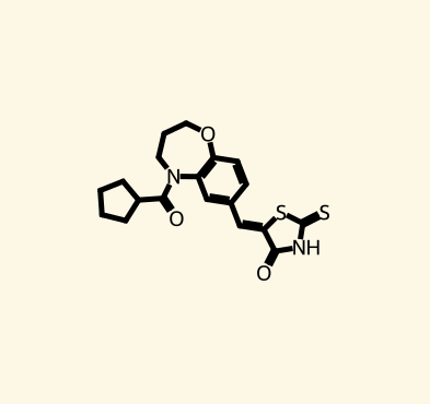 O=C1NC(=S)S/C1=C\c1ccc2c(c1)N(C(=O)C1CCCC1)CCCO2